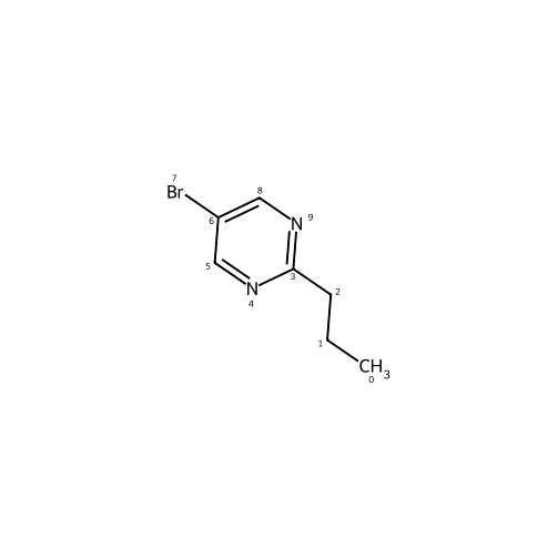 CCCc1ncc(Br)cn1